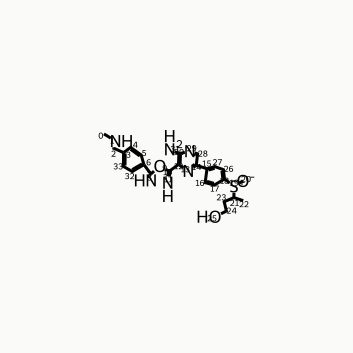 CNCc1ccc(C(=N)OC(=N)c2nc(-c3ccc([S+]([O-])C(C)CCO)cc3)cnc2N)cc1